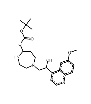 COc1ccc2nccc(C(O)CN3CCNC(OC(=O)OC(C)(C)C)CC3)c2c1